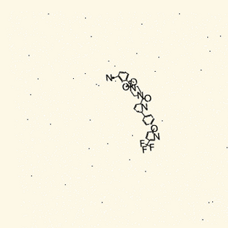 N#Cc1cccc(S(=O)(=O)N2CCN(C(=O)c3cccc(-c4ccc(Oc5ccc(C(F)(F)F)cn5)cc4)n3)CC2)c1